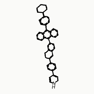 C1=CC(c2ccc(C3=Cc4ccc(-c5c6ccccc6c(-c6ccc(C7CCCCC7)cc6)c6ccccc56)cc4CC3)cc2)=CCN1